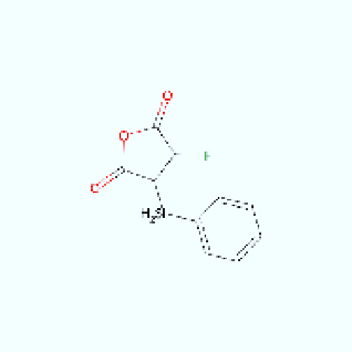 O=C1OC(=O)C([SiH2]c2ccccc2)C1F